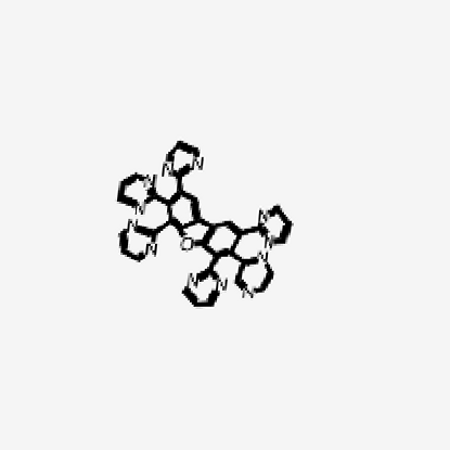 c1cnc(-c2cc3c(oc4c(-c5ncccn5)c(-c5ncccn5)c(-c5ncccn5)cc43)c(-c3ncccn3)c2-c2cnccn2)nc1